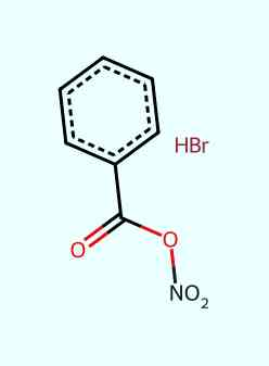 Br.O=C(O[N+](=O)[O-])c1ccccc1